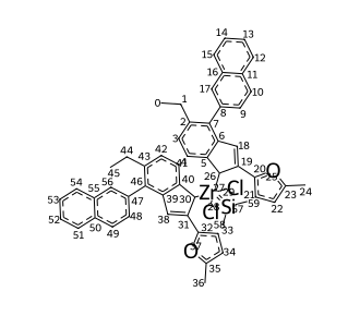 CCc1ccc2c(c1-c1ccc3ccccc3c1)C=C(c1ccc(C)o1)[CH]2[Zr]([Cl])([Cl])([CH]1C(c2ccc(C)o2)=Cc2c1ccc(CC)c2-c1ccc2ccccc2c1)=[Si](C)C